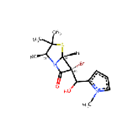 Cn1cccc1C(O)[C@@]1(Br)C(=O)N2[C@@H](C#N)C(C)(C)S[C@@H]21